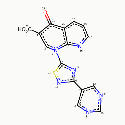 O=C(O)c1cn(-c2nc(-c3cncnc3)ns2)c2ncccc2c1=O